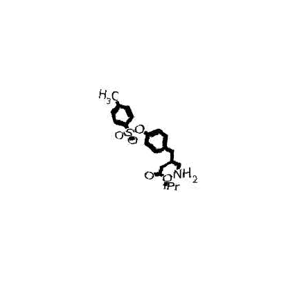 Cc1ccc(S(=O)(=O)Oc2ccc(CC(CN)CC(=O)OC(C)C)cc2)cc1